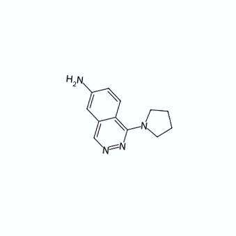 Nc1ccc2c(N3CCCC3)nncc2c1